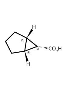 O=C(O)[C@@H]1[C@@H]2CCC[C@@H]21